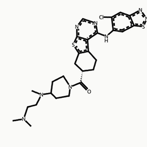 CN(C)CCN(C)C1CCN(C(=O)[C@H]2CCc3c(sc4ncnc(Nc5cc6snnc6cc5Cl)c34)C2)CC1